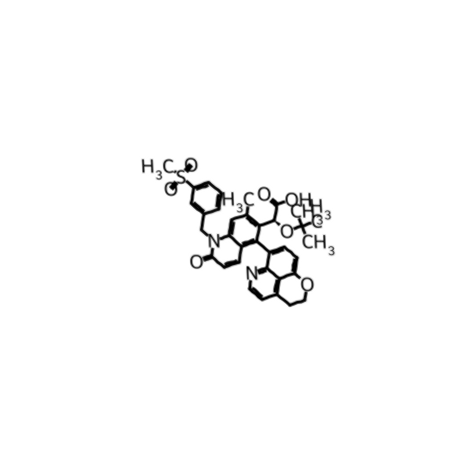 Cc1cc2c(ccc(=O)n2Cc2cccc(S(C)(=O)=O)c2)c(-c2ccc3c4c(ccnc24)CCO3)c1[C@H](OC(C)(C)C)C(=O)O